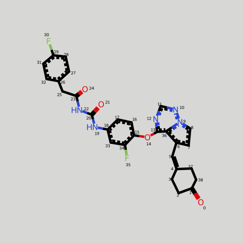 O=C1CCC(=Cc2ccn3ncnc(Oc4ccc(NC(=O)NC(=O)Cc5ccc(F)cc5)cc4F)c23)CC1